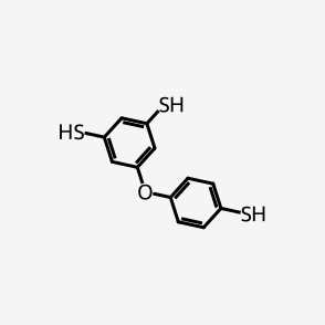 Sc1ccc(Oc2cc(S)cc(S)c2)cc1